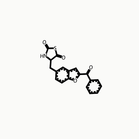 O=C1NC(Cc2ccc3oc(C(=O)c4ccccc4)cc3c2)C(=O)S1